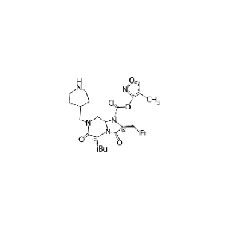 CCC(C)[C@H]1C(=O)N(CC2CCNCC2)CC2N1C(=O)[C@H](CC(C)C)N2C(=O)Oc1nocc1C